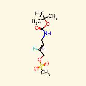 CC(C)(C)OC(=O)NC/C=C(\F)COS(C)(=O)=O